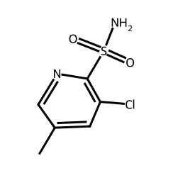 Cc1cnc(S(N)(=O)=O)c(Cl)c1